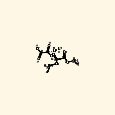 C[SiH2]OC(=O)C(=O)O[SiH2]C.O=C([O-])C(=O)[O-].[Li+].[Li+]